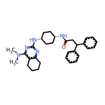 CN(C)c1nc(N[C@H]2CC[C@@H](NC(=O)CC(c3ccccc3)c3ccccc3)CC2)nc2c1CCCC2